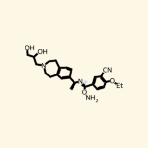 C=C(/N=C(\ON)c1ccc(OCC)c(C#N)c1)c1ccc2c(c1)CCN(CC(O)CO)CC2